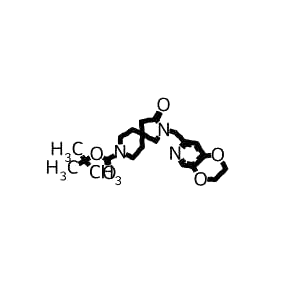 CC(C)(C)OC(=O)N1CCC2(CC1)CC(=O)N(Cc1cc3c(cn1)OCCO3)C2